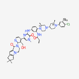 C=CC(=O)Nc1cc(Nc2nc(-c3ccnc(N4CCn5c(cc6c5CC(C)(C)C6)C4=O)c3CO)cn(C)c2=O)ccc1N1CCN(C2CCN(c3ccc(Cl)c(C(C)(C)C)c3)[C@H](C)C2)C[C@@H]1C